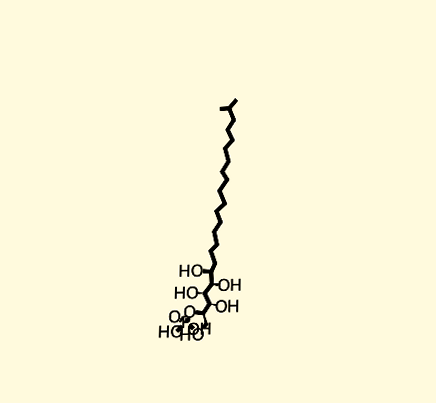 CC(C)CCCCCCCCCCCCCCCC(O)[C@@H](O)[C@@H](O)[C@H](O)[C@@H](CO)OP(=O)(O)O